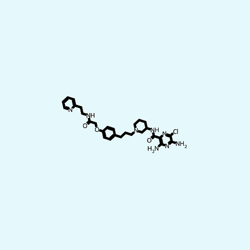 Nc1nc(N)c(C(=O)NC2CCCN(CCCc3ccc(OCC(=O)NCCc4ccccn4)cc3)C2)nc1Cl